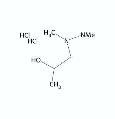 CNN(C)CC(C)O.Cl.Cl